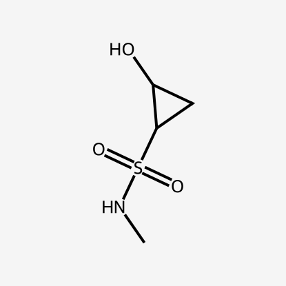 CNS(=O)(=O)C1CC1O